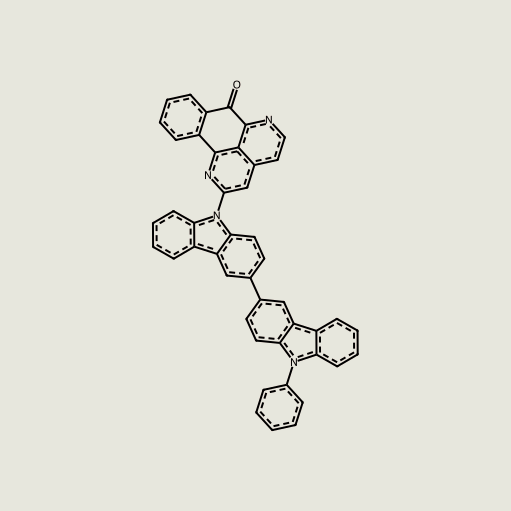 O=C1c2ccccc2-c2nc(-n3c4ccccc4c4cc(-c5ccc6c(c5)c5ccccc5n6-c5ccccc5)ccc43)cc3ccnc1c23